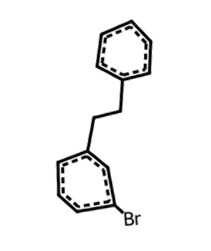 Brc1cccc(CCc2ccccc2)c1